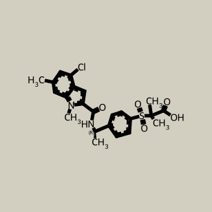 Cc1cc(Cl)c2cc(C(=O)N[C@H](C)c3ccc(S(=O)(=O)C(C)(C)C(=O)O)cc3)n(C)c2c1